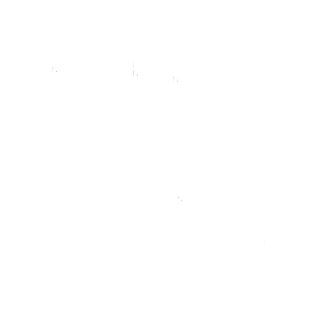 Fc1cccc(Cn2ccc3cc(F)c(-c4ccnc5[nH]c(C6CCNCC6)cc45)cc32)c1